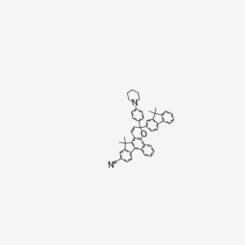 CC1(C)c2ccccc2-c2ccc(C3(c4ccc(N5CCCCC5)cc4)C=Cc4c5c(c6ccccc6c4O3)-c3ccc(C#N)cc3C5(C)C)cc21